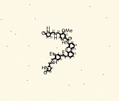 CCc1cc(/C(F)=C/c2cccc(-c3cccc(NC(=O)c4cc(OC)c(CNCC5CCC(=O)N5)cn4)c3C)c2C)ccc1CNCC1CCC(=O)N1